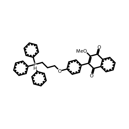 COC1=C(c2ccc(OCCC[PH](c3ccccc3)(c3ccccc3)c3ccccc3)cc2)C(=O)c2ccccc2C1=O